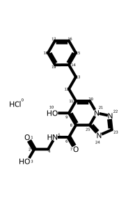 Cl.O=C(O)CNC(=O)c1c(O)c(CCc2ccccc2)cn2ncnc12